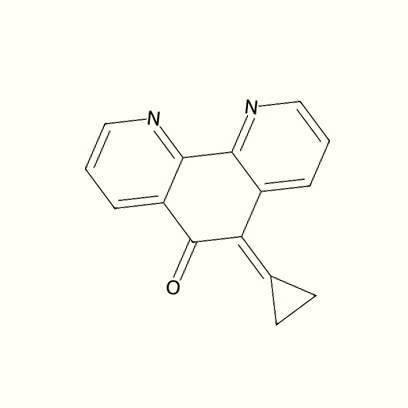 O=C1C(=C2CC2)c2cccnc2-c2ncccc21